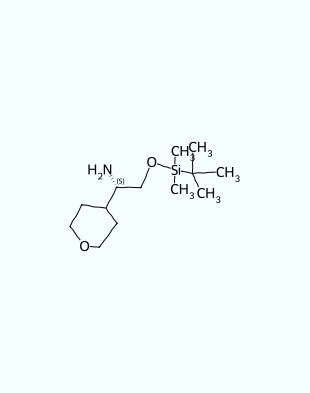 CC(C)(C)[Si](C)(C)OC[C@@H](N)C1CCOCC1